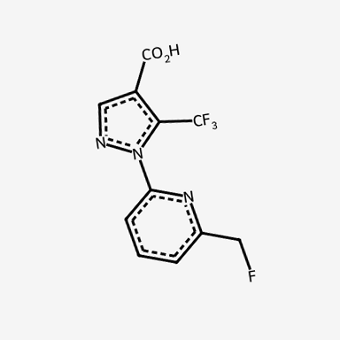 O=C(O)c1cnn(-c2cccc(CF)n2)c1C(F)(F)F